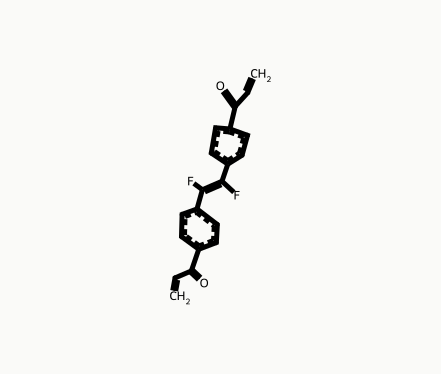 C=CC(=O)c1ccc(C(F)=C(F)c2ccc(C(=O)C=C)cc2)cc1